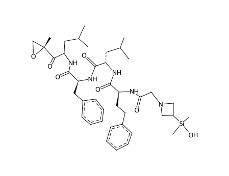 CC(C)CC(NC(=O)[C@H](Cc1ccccc1)NC(=O)[C@H](CC(C)C)NC(=O)[C@H](CCc1ccccc1)NC(=O)CN1CC([Si](C)(C)O)C1)C(=O)[C@@]1(C)CO1